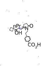 CCCC1([C@H](O)/C=C/[C@H]2CCC(=O)N2CCc2ccc(C(=O)O)cc2)CCC1